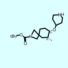 C[C@@H]1CC2(CC[C@@H]1OC1CCNCC1)CN(C(=O)OC(C)(C)C)C2